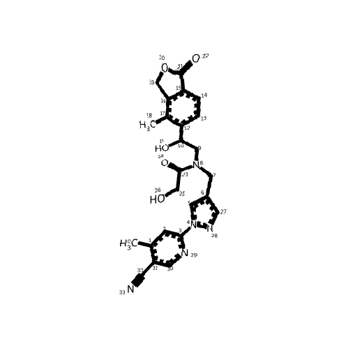 Cc1cc(-n2cc(CN(CC(O)c3ccc4c(c3C)COC4=O)C(=O)CO)cn2)ncc1C#N